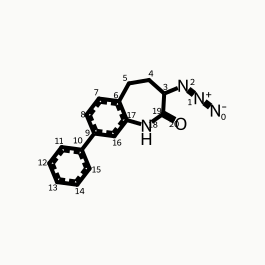 [N-]=[N+]=NC1CCc2ccc(-c3ccccc3)cc2NC1=O